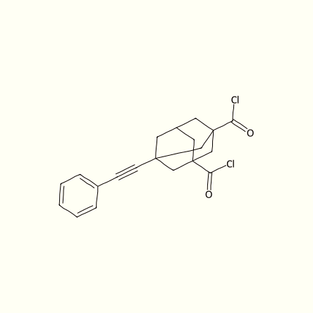 O=C(Cl)C12CC3CC(C#Cc4ccccc4)(C1)CC(C(=O)Cl)(C3)C2